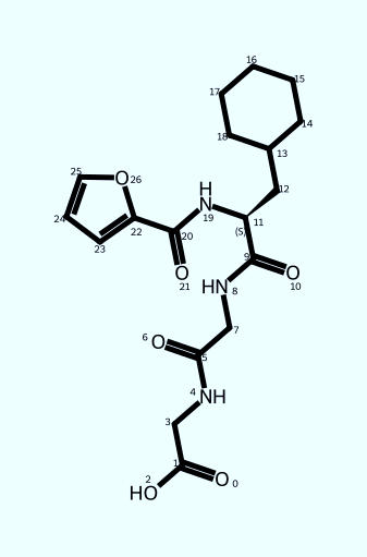 O=C(O)CNC(=O)CNC(=O)[C@H](CC1CCCCC1)NC(=O)c1ccco1